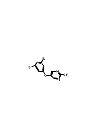 FC(F)(F)c1ncc(Oc2cc(Br)nc(Br)c2)cn1